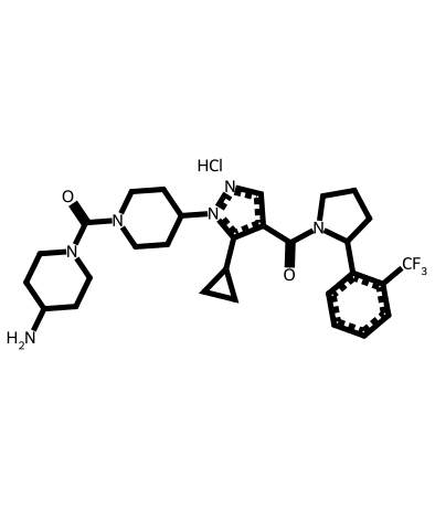 Cl.NC1CCN(C(=O)N2CCC(n3ncc(C(=O)N4CCCC4c4ccccc4C(F)(F)F)c3C3CC3)CC2)CC1